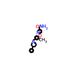 Cc1cc(CN2CCCC(c3ccccc3)CC2)ccc1Oc1ccc(C(N)=O)cn1